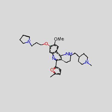 COc1cc2c3c(c(-c4ccc(C)o4)nc2cc1OCCCN1CCCC1)CC[C@H](CC1CCN(C)CC1)N3